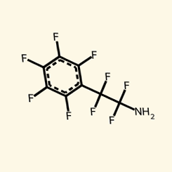 NC(F)(F)C(F)(F)c1c(F)c(F)c(F)c(F)c1F